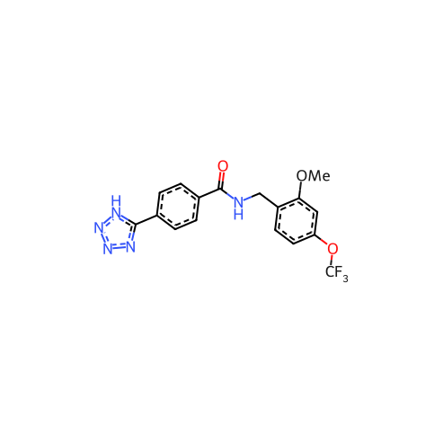 COc1cc(OC(F)(F)F)ccc1CNC(=O)c1ccc(-c2nnn[nH]2)cc1